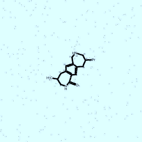 CC1CNC(=O)c2cc3c(cc2C1)CNCC(C(C)C)C3